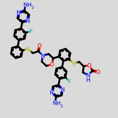 Nc1cnc(-c2ccc(-c3ccccc3SCC(=O)N3CCOC(c4cccc(SCC5CNC(=O)O5)c4-c4ccc(-c5cnc(N)cn5)c(F)c4)C3)cc2F)cn1